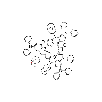 c1ccc(N(c2ccccc2)c2cc3c4c(c2)N(C25CC6CC(CC(C6)C2)C5)c2cc5c(cc2B4c2ccccc2O3)B2c3cc4c(cc3N(C36CC7CC(CC(C7)C3)C6)c3cc(N(c6ccccc6)c6ccccc6)cc(c32)O5)N(C23CC5CC(CC(C5)C2)C3)c2cc(N(c3ccccc3)c3ccccc3)cc3c2B4c2ccccc2N3c2ccccc2)cc1